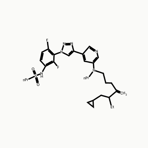 C=C(CCCN(CCC)c1cncc(-c2cn(-c3c(F)ccc(NS(=O)(=O)CCC)c3F)nn2)c1)C(CC)CC1CC1